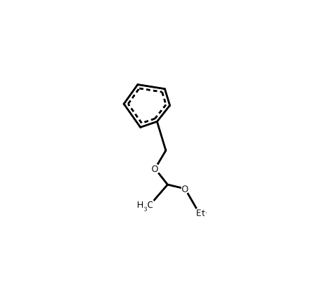 C[CH]OC(C)OCc1ccccc1